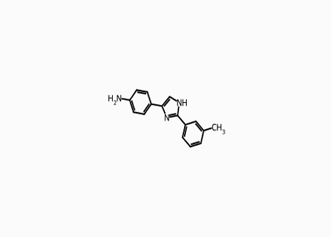 Cc1cccc(-c2nc(-c3ccc(N)cc3)c[nH]2)c1